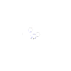 CC/C(C)=c1/c(OCCC(F)(F)F)ccc/c1=C1\c2cc(=O)c(C(=O)O)cn2C(C(C)(C)C)CN1C